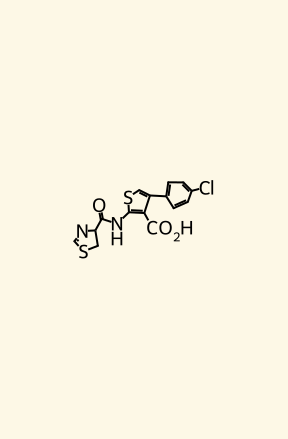 O=C(O)c1c(-c2ccc(Cl)cc2)csc1NC(=O)C1CSC=N1